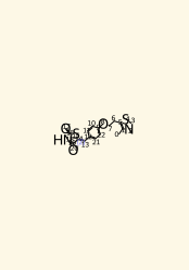 Cc1ncsc1CCOc1ccc(/C=C2\SC(=O)NC2=O)cc1